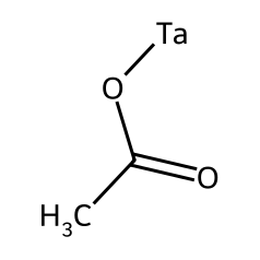 CC(=O)[O][Ta]